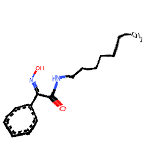 CCCCCCCNC(=O)C(=NO)c1ccccc1